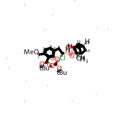 COCc1ccc(C[C@@H](Cl)B2OC3C[C@H]4C[C@H](C4(C)C)[C@]3(C)O2)c(OC(=O)OC(C)(C)C)c1C(=O)OC(C)(C)C